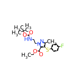 CCOC(=O)c1c(Sc2ccc(F)cc2)c(C)nn1CCNC(=O)OC(C)(C)C